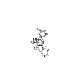 CC1COCCCN1c1nc(-c2ccnc(F)c2)[nH]c(=O)c1Cl